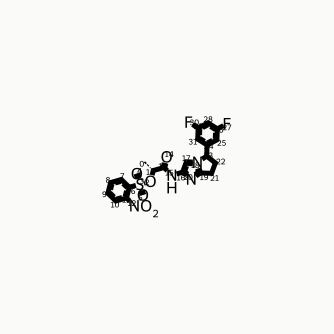 C[C@@H](OS(=O)(=O)c1ccccc1[N+](=O)[O-])C(=O)Nc1cn2c(n1)CCC2c1cc(F)cc(F)c1